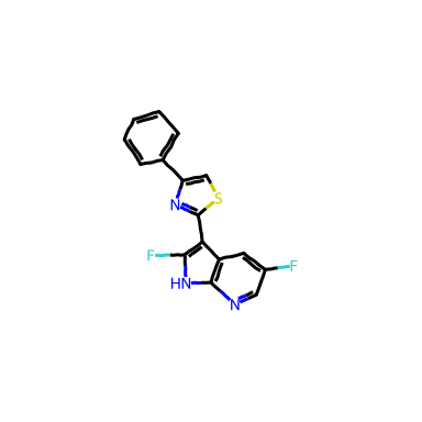 Fc1cnc2[nH]c(F)c(-c3nc(-c4ccccc4)cs3)c2c1